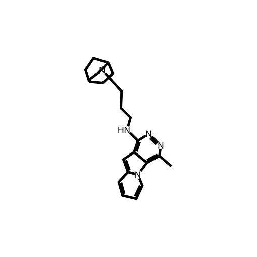 Cc1nnc(NCCCN2CC3CCC(CC3)C2)c2cc3ccccn3c12